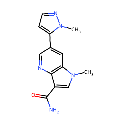 Cn1nccc1-c1cnc2c(C(N)=O)cn(C)c2c1